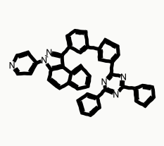 c1ccc(-c2nc(-c3ccccc3)nc(-c3cccc(-c4cccc(-c5nn(-c6ccncc6)c6ccc7ccccc7c56)c4)c3)n2)cc1